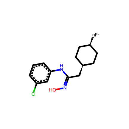 CCC[C@H]1CC[C@@H](C/C(=N/O)Nc2cccc(Cl)c2)CC1